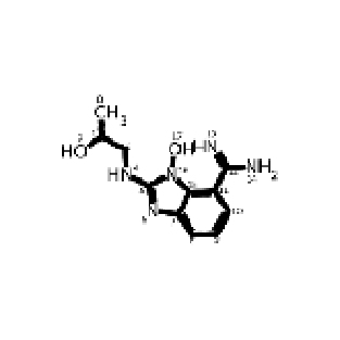 CC(O)CNc1nc2cccc(C(=N)N)c2n1O